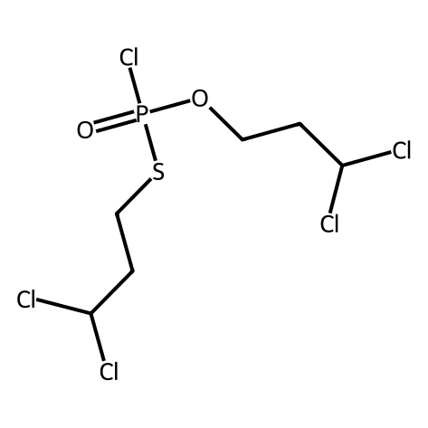 O=P(Cl)(OCCC(Cl)Cl)SCCC(Cl)Cl